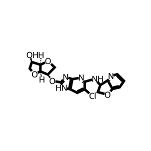 O[C@@H]1CO[C@H]2[C@@H]1OC[C@H]2Oc1nc2nc(NC3COc4cccnc43)c(Cl)cc2[nH]1